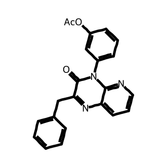 CC(=O)Oc1cccc(-n2c(=O)c(Cc3ccccc3)nc3cccnc32)c1